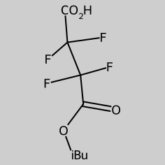 CCC(C)OC(=O)C(F)(F)C(F)(F)C(=O)O